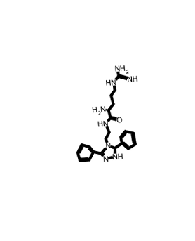 N=C(N)NCCC[C@H](N)C(=O)NCCN1C(c2ccccc2)=NNC1c1ccccc1